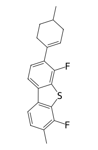 Cc1ccc2c(sc3c(F)c(C4=CCC(C)CC4)ccc32)c1F